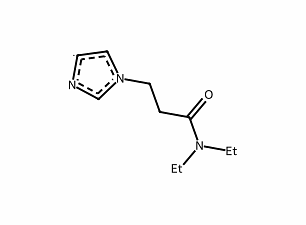 CCN(CC)C(=O)CCn1c[c]nc1